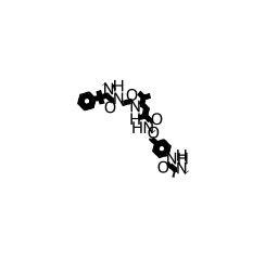 CN[C@@H](C)C(=O)Nc1ccc(CONC(=O)/C(C)=C/C(NC(=O)CNC(=O)[C@@H](N(C)C)C(C)(C)c2ccccc2)C(C)C)cc1